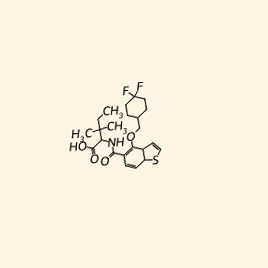 CCC(C)(C)C(NC(=O)C1=C(OCC2CCC(F)(F)CC2)C2C=CSC2C=C1)C(=O)O